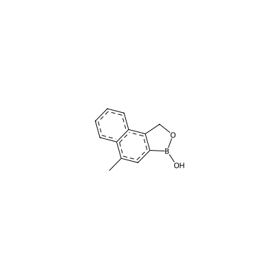 Cc1cc2c(c3ccccc13)COB2O